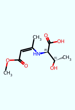 COC(=O)C=C(C)N[C@@H](C(=O)O)[C@H](C)O